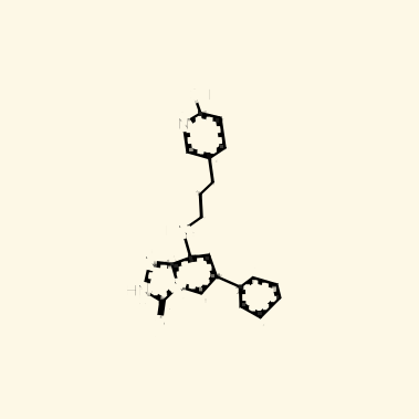 Cc1ccc(CCCNc2cc(-c3ccccc3)cn3c(=O)[nH]nc23)cn1